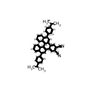 CC(C)c1ccc(-c2cc3c4cc(C#N)c(C#N)cc4c4cc(-c5ccc(C(C)C)cc5)c5ccccc5c4c3c3ccccc23)cc1